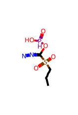 CCCS(=O)(=O)C(=[N+]=[N-])O[PH](=O)O